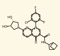 O=C(NC1CC2CC1C2)c1cn(-c2c(F)cc(F)cc2Cl)c2nc(N3C[C@@H](O)[C@H](O)C3)ccc2c1=O